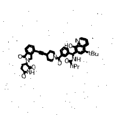 CCCC(=O)NC(c1cccc(C(=O)N2CCC(C#Cc3cccc4c3CN(C3CCC(=O)NC3=O)C4=O)CC2)c1)c1cc(C(C)(C)C)c2cccnc2c1O